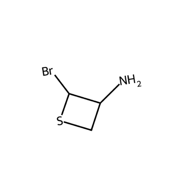 NC1CSC1Br